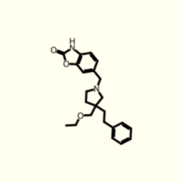 CCOCC1(CCc2ccccc2)CCN(Cc2ccc3[nH]c(=O)oc3c2)C1